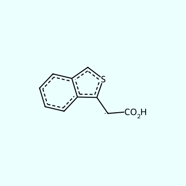 O=C(O)[CH]c1scc2ccccc12